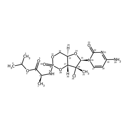 CC(C)OC(=O)[C@H](C)NP1(=O)OC[C@H]2O[C@@H](n3ccc(N)nc3=O)[C@](C)(Cl)[C@@H]2O1